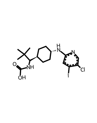 CC(C)(C)C(NC(=O)O)[C@H]1CC[C@H](Nc2cc(I)c(Cl)cn2)CC1